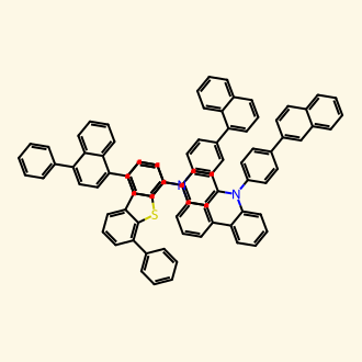 c1ccc(-c2ccc(-c3ccc(N(c4ccc(-c5cccc6ccccc56)cc4)c4cccc(-c5ccccc5N(c5ccc(-c6ccc7ccccc7c6)cc5)c5ccc(-c6cccc7c6sc6c(-c8ccccc8)cccc67)cc5)c4)cc3)c3ccccc23)cc1